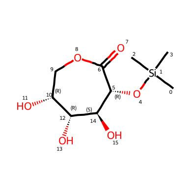 C[Si](C)(C)O[C@H]1C(=O)OC[C@@H](O)[C@@H](O)[C@@H]1O